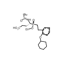 CCOP(=O)(CCc1ccccc1OC1CCCCC1)[C@H](CCC(=O)O)N[S@@+]([O-])C(C)(C)C